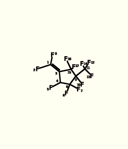 FC(F)=C1C(F)C(F)(F)C(F)(C(F)(F)F)C1(F)F